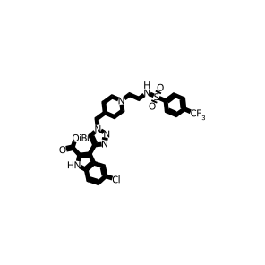 CC(C)COC(=O)c1[nH]c2ccc(Cl)cc2c1-c1cn(CC2CCN(CCNS(=O)(=O)c3ccc(C(F)(F)F)cc3)CC2)nn1